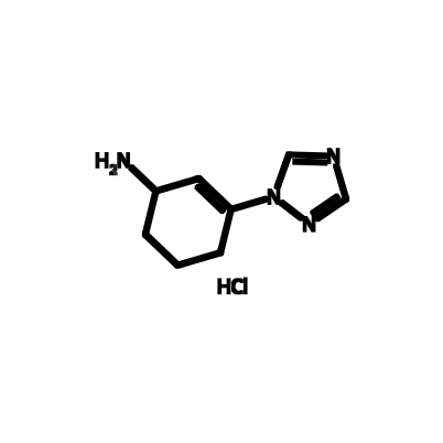 Cl.NC1C=C(n2cncn2)CCC1